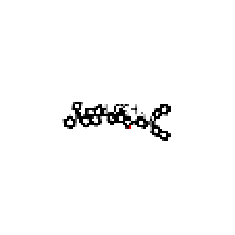 CC1(C)c2cc(-c3ccc(N(c4ccc5ccccc5c4)c4ccc5ccccc5c4)cc3)ccc2-c2ccc(-c3ccc4ccc5c(N(c6ccccc6)c6ccccc6)ccc6ccc3c4c65)cc21